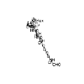 CCCCCCN(C)C(CC(OC(=O)NCCNC(=O)CNC(=O)CNC(=O)CNC(=O)CCOCCOCCOCCOCCNC(=O)CCC=O)c1nc(C=O)cs1)C(C)C